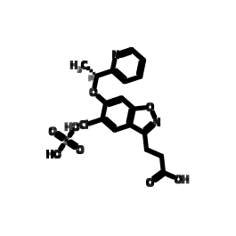 C[C@@H](Oc1cc2onc(CCC(=O)O)c2cc1Cl)c1ccccn1.O=S(=O)(O)O